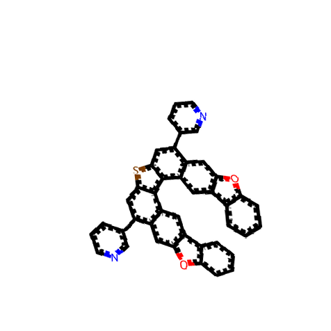 c1cncc(-c2cc3sc4cc(-c5cccnc5)c5cc6oc7ccccc7c6cc5c4c3c3cc4c(cc23)oc2ccccc24)c1